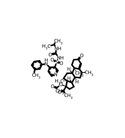 CC(=O)O[C@]1(C(C)=O)CC[C@H]2[C@@H]3C[C@H](C)C4=CC(=O)CC[C@]4(C)[C@H]3CC[C@@]21C.Cc1cccc(Nc2ccncc2S(=O)(=O)NC(=O)NC(C)C)c1